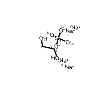 OCCO.[Na+].[Na+].[Na+].[Na+].[O-][Si]([O-])([O-])[O-]